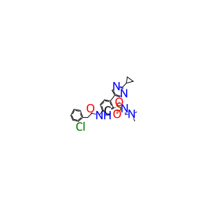 CN(C)/C=N/S(=O)(=O)c1cc(NC(=O)Cc2ccccc2Cl)ccc1-c1cnc(C2CC2)nc1